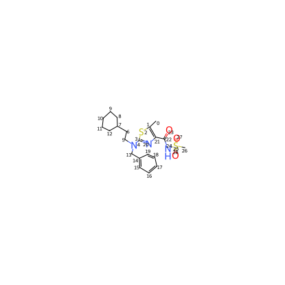 Cc1sc(N(CCC2CCCCC2)Cc2ccccc2)nc1C(=O)NS(C)(=O)=O